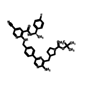 C[C@H](NC(=O)c1cc(C#N)cnc1NCc1ccc(-c2cnc(N)c(CC3CCN(C(=O)OC(C)(C)C)C3)n2)cc1)c1ccc(F)cc1